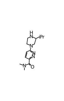 CC(C)C1CN(c2ccc(C(=O)N(C)C)nn2)CCN1